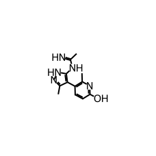 CC(=N)Nc1[nH]nc(C)c1-c1ccc(O)nc1C